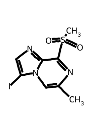 Cc1cn2c(I)cnc2c(S(C)(=O)=O)n1